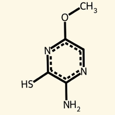 COc1cnc(N)c(S)n1